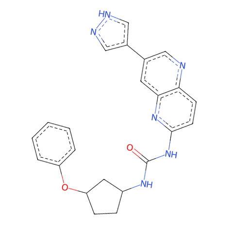 O=C(Nc1ccc2ncc(-c3cn[nH]c3)cc2n1)NC1CCC(Oc2ccccc2)C1